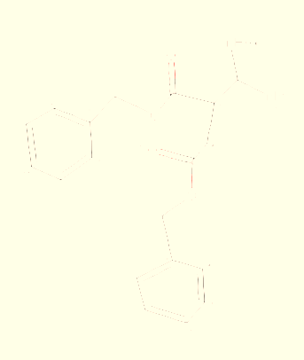 CCCCCCC(CCC)C(CC(=O)OCc1ccccc1)C(=O)OCc1ccccc1